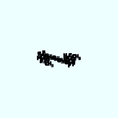 C=C(C)c1c(F)c(F)c(F)c(OC(=O)CCOCCOCCC(=O)Oc2c(F)c(F)c(F)c(F)c2/C=C/C)c1F